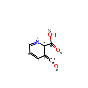 O=C=C1C=CC=NC1C(=O)O